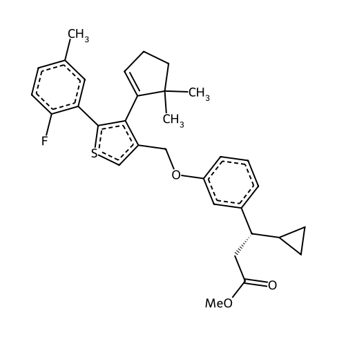 COC(=O)C[C@H](c1cccc(OCc2csc(-c3cc(C)ccc3F)c2C2=CCCC2(C)C)c1)C1CC1